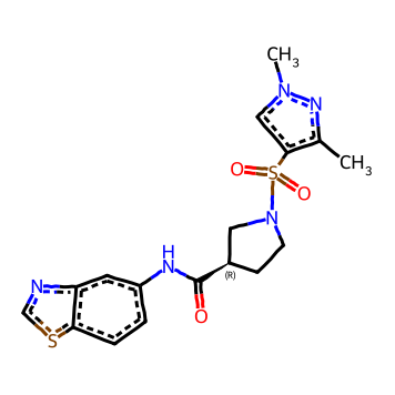 Cc1nn(C)cc1S(=O)(=O)N1CC[C@@H](C(=O)Nc2ccc3scnc3c2)C1